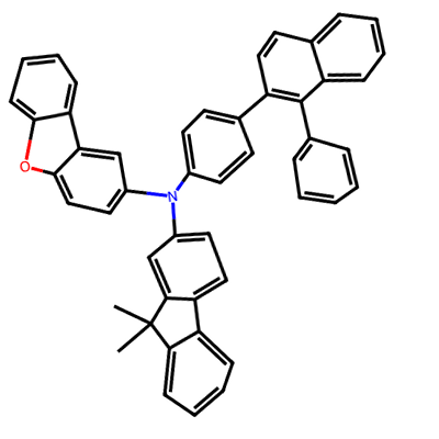 CC1(C)c2ccccc2-c2ccc(N(c3ccc(-c4ccc5ccccc5c4-c4ccccc4)cc3)c3ccc4oc5ccccc5c4c3)cc21